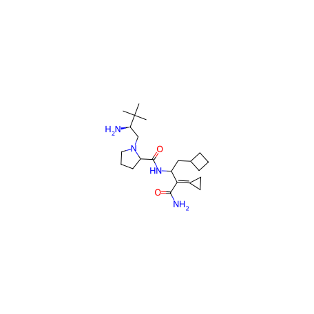 CC(C)(C)[C@H](N)CN1CCCC1C(=O)NC(CC1CCC1)C(C(N)=O)=C1CC1